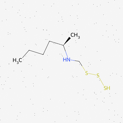 CCCC[C@@H](C)NCSSS